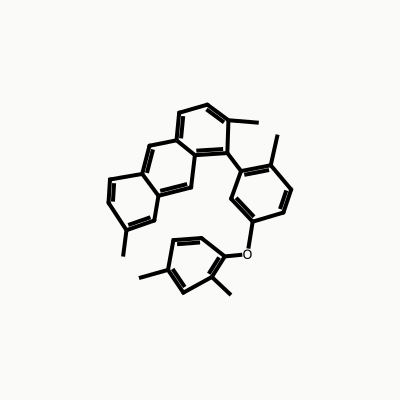 Cc1ccc(Oc2ccc(C)c(-c3c(C)ccc4cc5ccc(C)cc5cc34)c2)c(C)c1